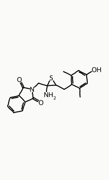 Cc1cc(O)cc(C)c1CC1SC1(N)CN1C(=O)c2ccccc2C1=O